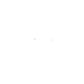 CC(O)C(=O)NC(N)=O.O